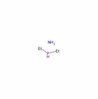 CCPCC.N